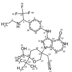 CCNC(c1ccc(Nc2nn(C3(CC#N)CCC(C(=O)O)(C(C)(C)C)OC3)c3cc[nH]c(=O)c23)cc1)C(F)(F)F